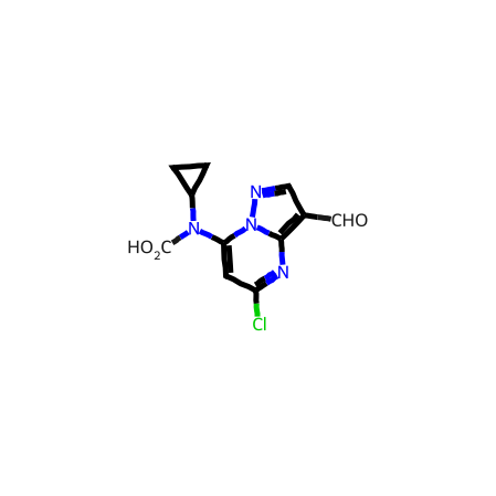 O=Cc1cnn2c(N(C(=O)O)C3CC3)cc(Cl)nc12